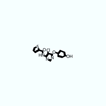 O=C(Nc1ncnc(Oc2ccc(O)cc2)c1Cl)c1cccs1